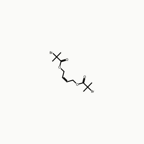 CC(C)(Br)C(=O)OC/C=C\COC(=O)C(C)(C)Br